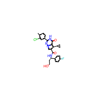 Cc1ccc(-c2nn3cc(C(=O)N[C@H](CCO)c4ccc(F)cc4)c(C4CC4)c3c(=O)[nH]2)cc1Cl